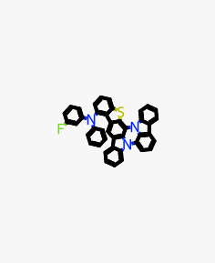 Fc1cccc(N(c2ccccc2)c2cccc3sc4c(cc5c6ccccc6n6c7cccc8c9ccccc9n(c87)c4c56)c23)c1